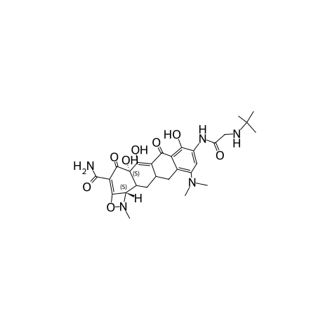 CN(C)c1cc(NC(=O)CNC(C)(C)C)c(O)c2c1CC1CC3[C@H]4C(=C(C(N)=O)C(=O)[C@@]3(O)C(O)=C1C2=O)ON4C